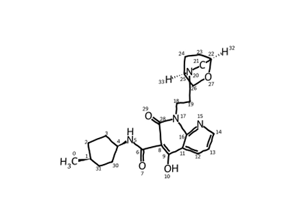 C[C@H]1CC[C@@H](NC(=O)c2c(O)c3cccnc3n(CCN3C[C@H]4CC[C@@H]3CO4)c2=O)CC1